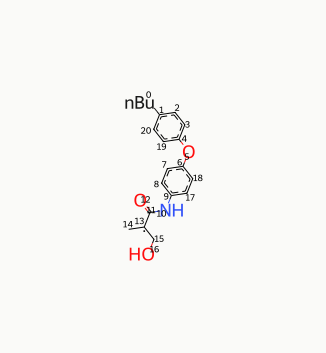 CCCCc1ccc(Oc2ccc(NC(=O)[C](C)CO)cc2)cc1